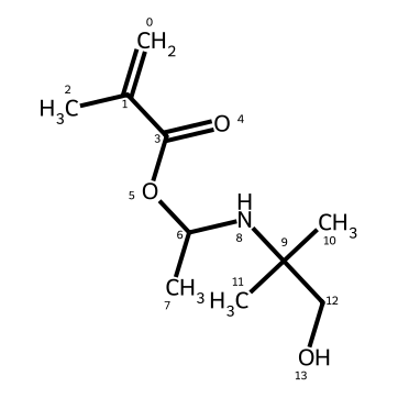 C=C(C)C(=O)OC(C)NC(C)(C)CO